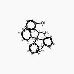 CC(c1ccccc1O)[Si](c1ccccc1)(c1ccccc1)c1ccccc1O